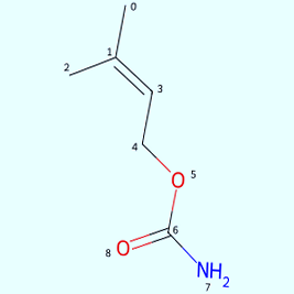 CC(C)=CCOC(N)=O